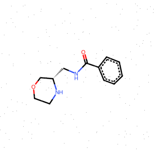 O=C(NC[C@H]1COCCN1)c1ccccc1